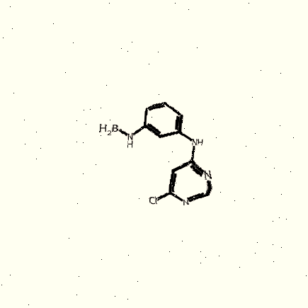 BNc1cccc(Nc2cc(Cl)ncn2)c1